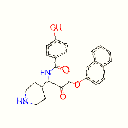 O=C(NC(C(=O)COc1ccc2ccccc2c1)C1CCNCC1)c1ccc(O)cc1